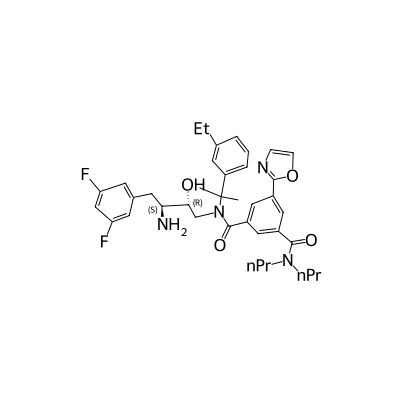 CCCN(CCC)C(=O)c1cc(C(=O)N(C[C@@H](O)[C@@H](N)Cc2cc(F)cc(F)c2)C(C)(C)c2cccc(CC)c2)cc(-c2ncco2)c1